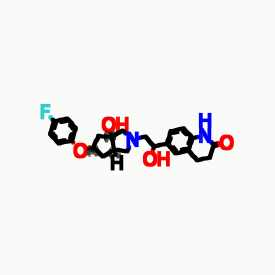 O=C1CCc2cc(C(O)CN3C[C@@H]4C[C@@H](Oc5ccc(F)cc5)C[C@]4(O)C3)ccc2N1